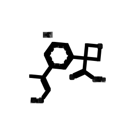 COC=C(C)c1cccc(C2(C(=O)OC)COC2)c1.Cl